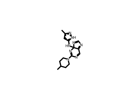 Cc1cc(NC23N=CN=C2C=NC(N2CCC(C)CC2)=N3)[nH]n1